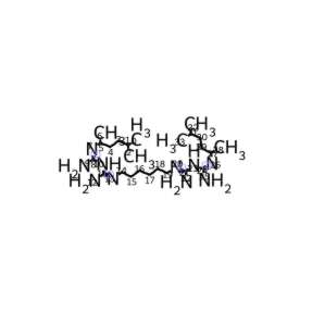 CC(C)CCC(C)/N=C(/N)N/C(N)=N\CCCCCC/N=C(\N)N/C(N)=N\C(C)CCC(C)C